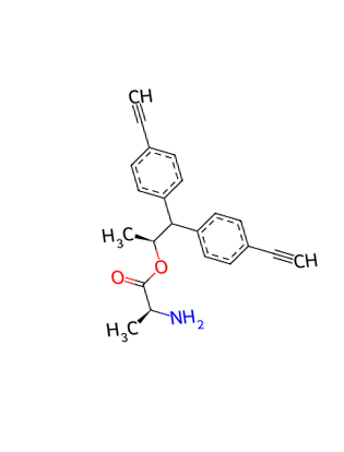 C#Cc1ccc(C(c2ccc(C#C)cc2)[C@H](C)OC(=O)[C@H](C)N)cc1